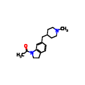 CC(=O)N1CCc2ccc(CC3CCN(C)CC3)cc21